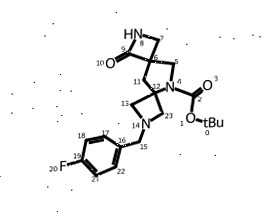 CC(C)(C)OC(=O)N1CC2(CNC2=O)CC12CN(Cc1ccc(F)cc1)C2